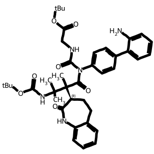 CC(C)(C)OC(=O)CNC(=O)N(C(=O)C(C)([C@H]1CCc2ccccc2NC1=O)C(C)(C)NC(=O)OC(C)(C)C)c1ccc(-c2ccccc2N)cc1